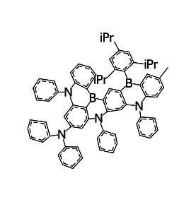 Cc1ccc2c(c1)B(c1c(C(C)C)cc(C(C)C)cc1C(C)C)c1cc3c(cc1N2c1ccccc1)N(c1ccccc1)c1cc(N(c2ccccc2)c2ccccc2)cc2c1B3c1ccccc1N2c1ccccc1